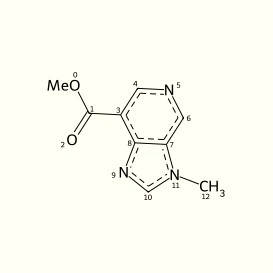 COC(=O)c1cncc2c1ncn2C